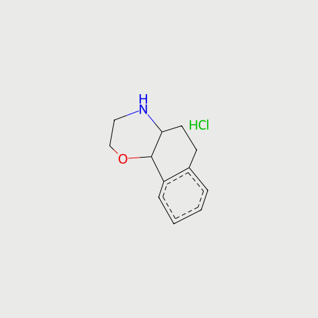 Cl.c1ccc2c(c1)CCC1NCCOC21